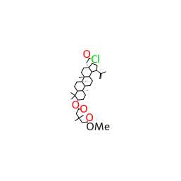 C=C(C)[C@@H]1CC[C@]2(CC(=O)Cl)CC[C@]3(C)C(CCC4[C@@]5(C)CC[C@H](OC(=O)CC(C)(C)CC(=O)OC)C(C)(C)C5CC[C@]43C)C12